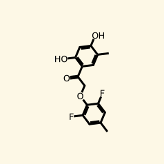 Cc1cc(F)c(OCC(=O)c2cc(C)c(O)cc2O)c(F)c1